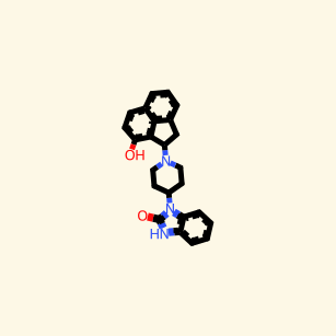 O=c1[nH]c2ccccc2n1C1CCN(C2Cc3cccc4ccc(O)c2c34)CC1